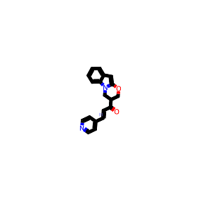 O=C(/C=C/c1ccncc1)C1COc2cc3ccccc3n2C1